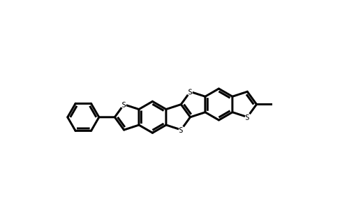 Cc1cc2cc3sc4c5cc6sc(-c7ccccc7)cc6cc5sc4c3cc2s1